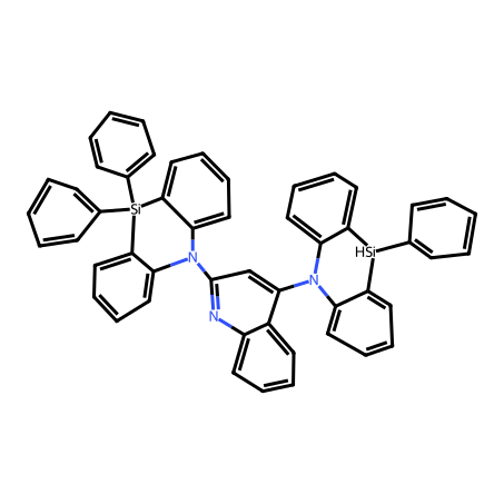 c1ccc([SiH]2c3ccccc3N(c3cc(N4c5ccccc5[Si](c5ccccc5)(c5ccccc5)c5ccccc54)nc4ccccc34)c3ccccc32)cc1